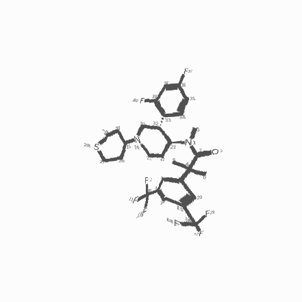 CN(C(=O)C(C)(C)c1cc(C(F)(F)F)cc(C(F)(F)F)c1)[C@H]1CCN(C2CCSCC2)C[C@@H]1c1ccc(F)cc1F